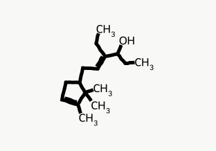 CC/C(=C\CC1CC=C(C)C1(C)C)C(O)CC